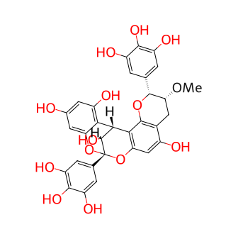 CO[C@@H]1Cc2c(O)cc3c(c2O[C@@H]1c1cc(O)c(O)c(O)c1)[C@H]1c2c(O)cc(O)cc2O[C@@](c2cc(O)c(O)c(O)c2)(O3)[C@@H]1O